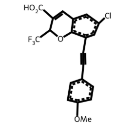 COc1ccc(C#Cc2cc(Cl)cc3c2OC(C(F)(F)F)C(C(=O)O)=C3)cc1